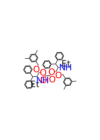 CCNC(C(OCc1cc(C)cc(C)c1)OC(=O)C(=O)OC(OCc1cc(C)cc(C)c1)C(NCC)C(c1ccccc1)c1ccccc1)C(c1ccccc1)c1ccccc1